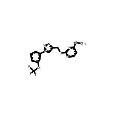 CNc1ccnc(OCc2cn(-c3cccc(OC(F)(F)F)c3)nn2)n1